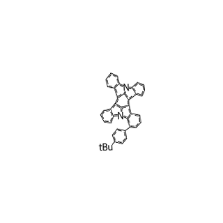 CC(C)(C)c1ccc(-c2cccc3c4c5c6ccccc6n6c7ccccc7c(c7c8ccccc8n(c23)c74)c56)cc1